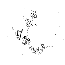 CCCCCCNC(=O)CCC(C)NC(=O)CCC(=O)NC(CCC(=O)NCCCCCC)C(=O)NCCCCCC(=O)NC(CCC(=O)OC(C)(C)C)C(=O)OC(C)(C)C